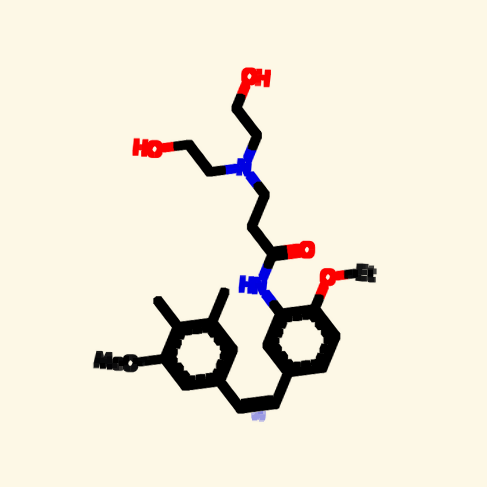 CCOc1ccc(/C=C\c2cc(C)c(C)c(OC)c2)cc1NC(=O)CCN(CCO)CCO